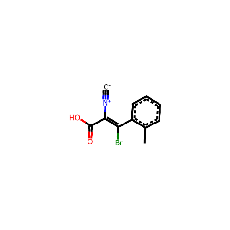 [C-]#[N+]C(C(=O)O)=C(Br)c1ccccc1C